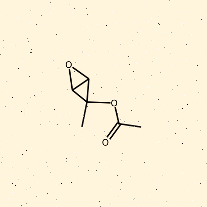 CC(=O)OC1(C)C2OC21